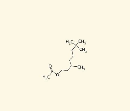 CC(=O)OCCC(C)CCCC(C)(C)C